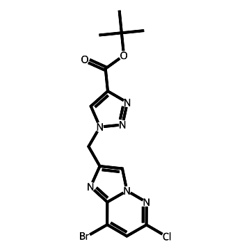 CC(C)(C)OC(=O)c1cn(Cc2cn3nc(Cl)cc(Br)c3n2)nn1